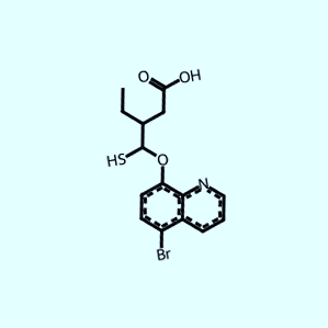 CCC(CC(=O)O)C(S)Oc1ccc(Br)c2cccnc12